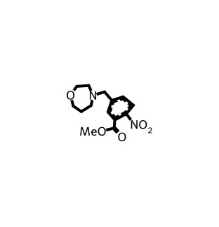 COC(=O)c1cc(CN2CCCOCC2)ccc1[N+](=O)[O-]